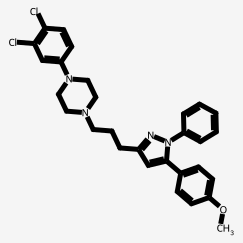 COc1ccc(-c2cc(CCCN3CCN(c4ccc(Cl)c(Cl)c4)CC3)nn2-c2ccccc2)cc1